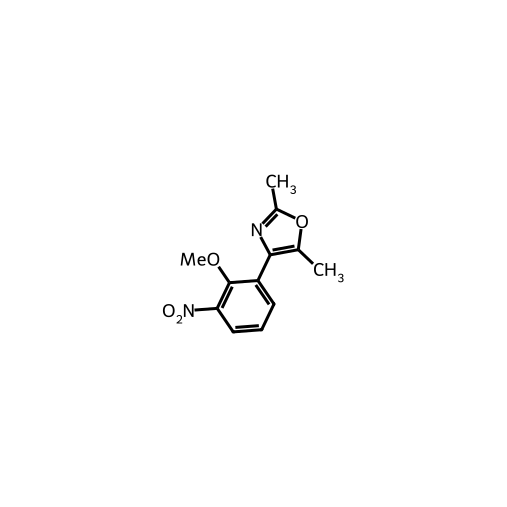 COc1c(-c2nc(C)oc2C)cccc1[N+](=O)[O-]